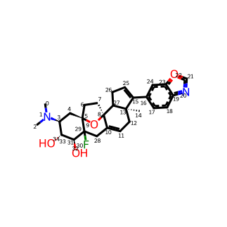 CN(C)[C@H]1C[C@@]23CC[C@@]4(O2)C(=CC[C@]2(C)C(c5ccc6ncoc6c5)=CCC24)CC3(F)[C@@H](O)[C@@H]1O